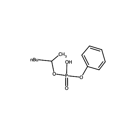 CCCCC(C)OP(=O)(O)Oc1ccccc1